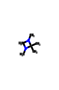 CN1[SiH2]N(C)[Si]1(C)C